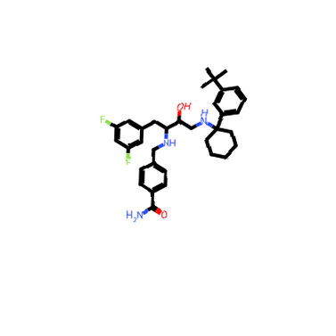 CC(C)(C)c1cccc(C2(NCC(O)C(Cc3cc(F)cc(F)c3)NCc3ccc(C(N)=O)cc3)CCCCC2)c1